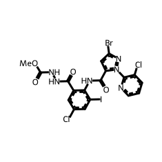 COC(=O)NNC(=O)c1cc(Cl)cc(I)c1NC(=O)c1cc(Br)nn1-c1ncccc1Cl